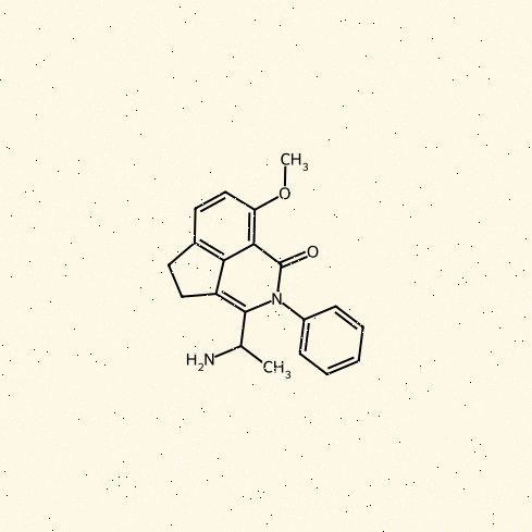 COc1ccc2c3c(c(C(C)N)n(-c4ccccc4)c(=O)c13)CC2